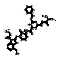 CC(C)Cc1cccc2c1nc(Cn1cccc(NC(=O)[C@H](CC/C=C/C(=O)N(C)C)NC(=O)OCc3ccccc3)c1=O)n2C(=O)OC(C)(C)C